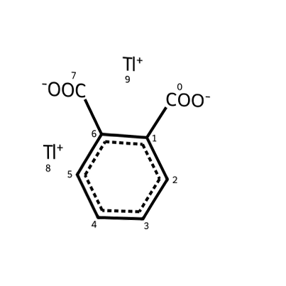 O=C([O-])c1ccccc1C(=O)[O-].[Tl+].[Tl+]